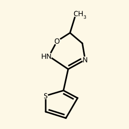 CC1CN=C(c2cccs2)NO1